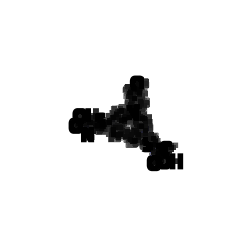 [C-]#[N+]/C(=C\c1ccc(/C(=C/c2ccc(N(c3ccc(/C=C(\c4ccccc4)c4ccc(/C=C(\C#N)C(=O)O)s4)cc3)c3ccc4cc(OC)ccc4c3)cc2)c2ccccc2)s1)C(=O)O